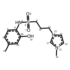 Cc1ccc(NS(=O)(=O)CCCn2cc[n+](C)c2)c(O)c1